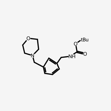 CC(C)(C)OC(=O)NCc1cccc(CN2CCOCC2)c1